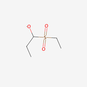 CCC([O])S(=O)(=O)CC